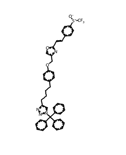 [O-][S+](c1ccc(C=Cc2nc(COc3ccc(CCCCc4cn(C(c5ccccc5)(c5ccccc5)c5ccccc5)nn4)cc3)co2)cc1)C(F)(F)F